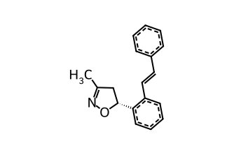 CC1=NO[C@@H](c2ccccc2/C=C/c2ccccc2)C1